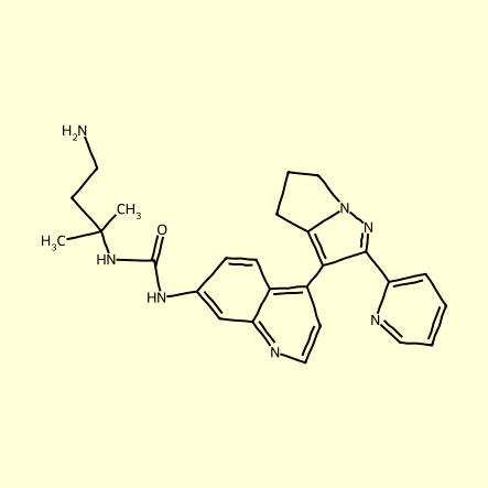 CC(C)(CCN)NC(=O)Nc1ccc2c(-c3c(-c4ccccn4)nn4c3CCC4)ccnc2c1